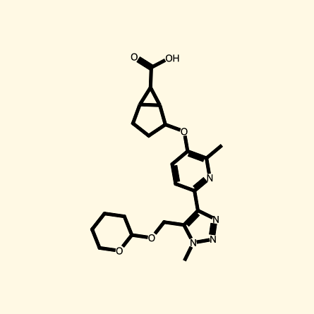 Cc1nc(-c2nnn(C)c2COC2CCCCO2)ccc1OC1CCC2C(C(=O)O)C12